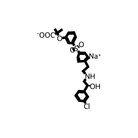 CC(C)(Oc1cccc(S(=O)(=O)c2ccc(CCNC[C@@H](O)c3cccc(Cl)c3)cc2)c1)C(=O)[O-].[Na+]